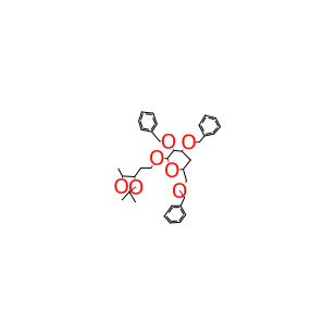 CC1OC(C)(C)OC1CCOC1OC(COCc2ccccc2)CC(OCc2ccccc2)C1OCc1ccccc1